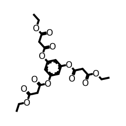 CCOC(=O)CC(=O)Oc1cc(OC(=O)CC(=O)OCC)cc(OC(=O)CC(=O)OCC)c1